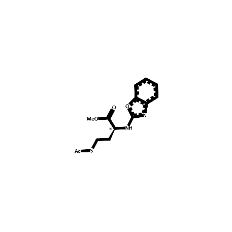 COC(=O)[C@H](CCSC(C)=O)Nc1nc2ccccc2o1